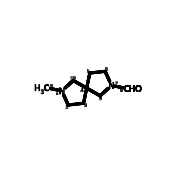 CN1CCC2(CCN(C=O)C2)C1